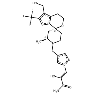 C[C@H]1C[C@@]2(CCN1Cc1cnn(C=C(O)C(N)=O)c1)OCCc1c2sc(C(F)(F)F)c1CO